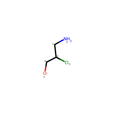 NCC(Cl)C[O]